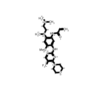 C=CC(=O)Nc1cc(Nc2ncc(C(F)(F)F)c(N3CCOCC3)n2)c(OC)cc1N(C)CCN(C)C